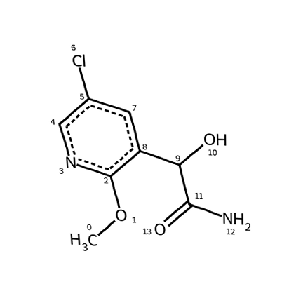 COc1ncc(Cl)cc1C(O)C(N)=O